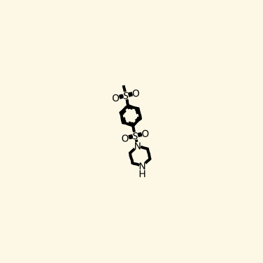 CS(=O)(=O)c1ccc(S(=O)(=O)N2CCNCC2)cc1